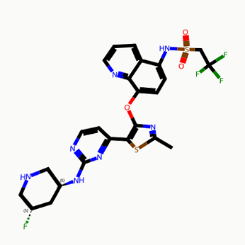 Cc1nc(Oc2ccc(NS(=O)(=O)CC(F)(F)F)c3cccnc23)c(-c2ccnc(N[C@@H]3CNC[C@@H](F)C3)n2)s1